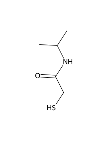 CC(C)NC(=O)CS